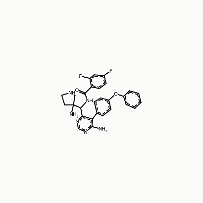 Nc1ncnc(C(NC(=O)c2ccc(F)cc2F)C2(N)CCNC2)c1-c1ccc(Oc2ccccc2)cc1